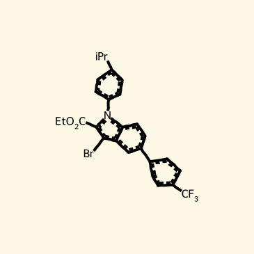 CCOC(=O)c1c(Br)c2cc(-c3ccc(C(F)(F)F)cc3)ccc2n1-c1ccc(C(C)C)cc1